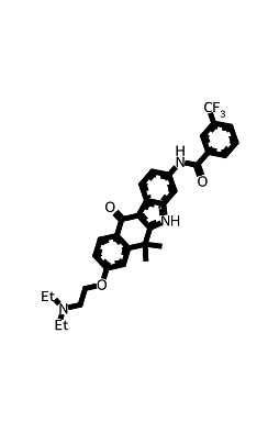 CCN(CC)CCOc1ccc2c(c1)C(C)(C)c1[nH]c3cc(NC(=O)c4cccc(C(F)(F)F)c4)ccc3c1C2=O